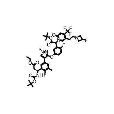 CCOC(=O)C[C@H](NC(=O)OC(C)(C)C)c1cc(-c2cn(C)nc2Oc2ccc(F)c(C(C(=O)OC(C)(C)C)n3cc(CCN4CC(F)C4)c(C(F)(F)F)cc3=O)c2)cc(C)c1F